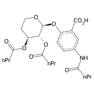 CCCC(=O)Nc1ccc(O[C@@H]2OCC[C@H](OC(=O)CCC)[C@H]2OC(=O)CCC)c(C(=O)O)c1